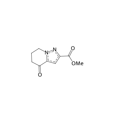 COC(=O)c1cc2n(n1)CCCC2=O